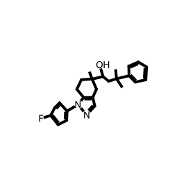 CC(C)(CC(O)C1(C)CCc2c(cnn2-c2ccc(F)cc2)C1)c1ccccc1